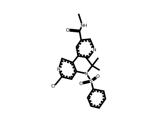 CNC(=O)c1cncc(-c2cnc(Cl)cc2N(C(C)(C)C)S(=O)(=O)c2ccccc2)c1